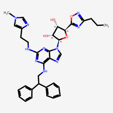 CCCc1noc([C@H]2O[C@@H](n3cnc4c(NCC(c5ccccc5)c5ccccc5)nc(NCCc5cn(C)cn5)nc43)[C@H](O)[C@@H]2O)n1